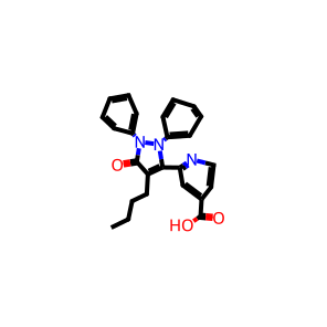 CCCCc1c(-c2cc(C(=O)O)ccn2)n(-c2ccccc2)n(-c2ccccc2)c1=O